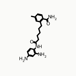 Cc1ccc(C(N)=O)c(CCCCCC(=O)Nc2ccc(N)cc2N)c1